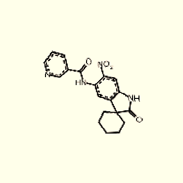 O=C(Nc1cc2c(cc1[N+](=O)[O-])NC(=O)C21CCCCC1)c1cccnc1